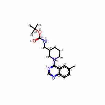 Cc1ccc2ncnc(N3CCCC(CNC(=O)OC(C)(C)C)C3)c2c1